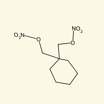 O=[N+]([O-])OCC1(CO[N+](=O)[O-])CCCCC1